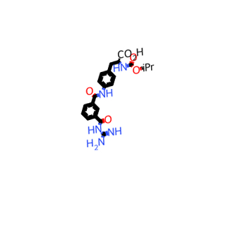 CC(C)OC(=O)N[C@@H](Cc1ccc(NC(=O)c2cccc(C(=O)NC(=N)N)c2)cc1)C(=O)O